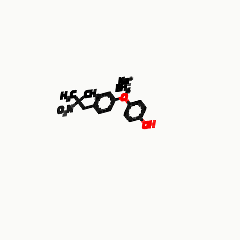 CC(C)(Cc1ccc(Oc2ccc(O)cc2)cc1)[N+](=O)[O-].[BH4-].[Na+]